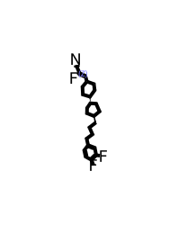 N#C/C(F)=C/C1CCC([C@H]2CC[C@H](CCCCc3ccc(F)c(F)c3)CC2)CC1